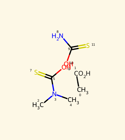 CC(=O)O.CN(C)C(O)=S.NC(O)=S